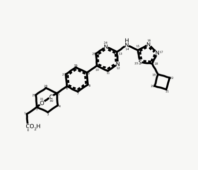 O=C(O)CC12CCC(c3ccc(-c4cnc(Nc5nnc(C6CCC6)s5)nc4)cc3)(CC1)CO2